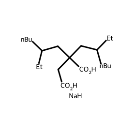 CCCCC(CC)CC(CC(=O)O)(CC(CC)CCCC)C(=O)O.[NaH]